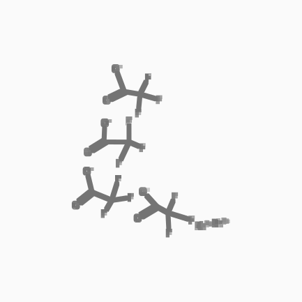 O=C([O-])C(F)(F)F.O=C([O-])C(F)(F)F.O=C([O-])C(F)(F)F.O=C([O-])C(F)(F)F.[Rh+3].[Rh+3]